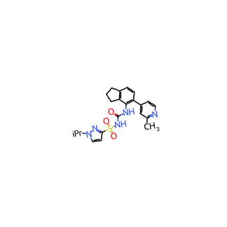 Cc1cc(-c2ccc3c(c2NC(=O)NS(=O)(=O)c2ccn(C(C)C)n2)CCC3)ccn1